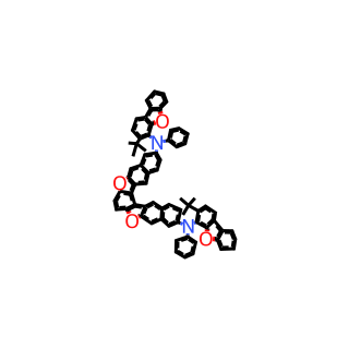 CC(C)(C)c1ccc2c(oc3ccccc32)c1N(c1ccccc1)c1ccc2cc3c(cc2c1)oc1ccc2oc4cc5cc(N(c6ccccc6)c6c(C(C)(C)C)ccc7c6oc6ccccc67)ccc5cc4c2c13